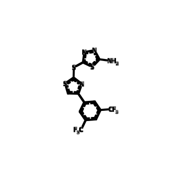 Nc1nnc(Sc2nc(-c3cc(C(F)(F)F)cc(C(F)(F)F)c3)cs2)s1